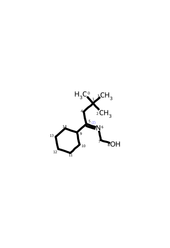 CC(C)(C)C/C(=N/CO)C1CCCCC1